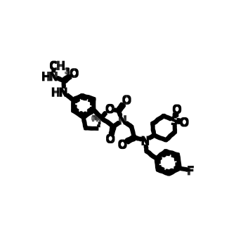 CNC(=O)Nc1ccc2c(c1)CC[C@@]21OC(=O)N(CC(=O)N(Cc2ccc(F)cc2)C2CCS(=O)(=O)CC2)C1=O